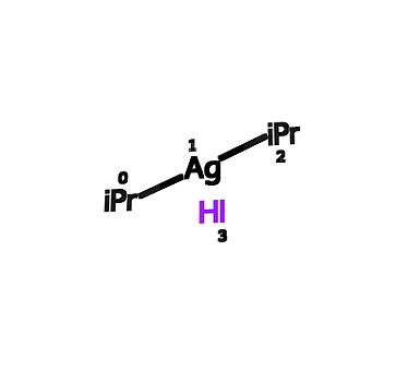 C[CH](C)[Ag][CH](C)C.I